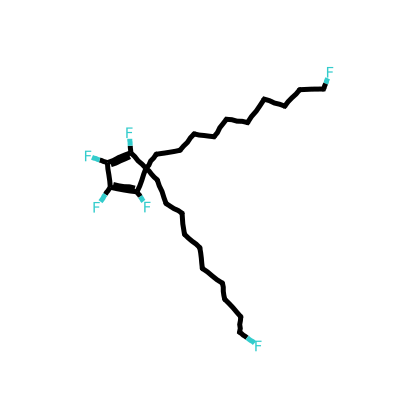 FCCCCCCCCCCC1(CCCCCCCCCCF)C(F)=C(F)C(F)=C1F